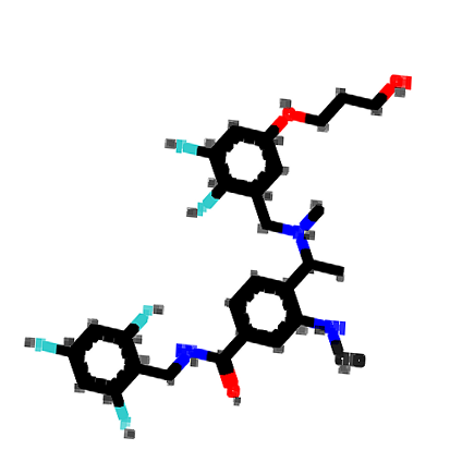 CC(c1ccc(C(=O)NCc2c(F)cc(F)cc2F)cc1NC=O)N(C)Cc1cc(OCCCO)cc(F)c1F